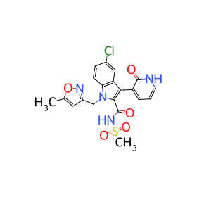 Cc1cc(Cn2c(C(=O)NS(C)(=O)=O)c(-c3ccc[nH]c3=O)c3cc(Cl)ccc32)no1